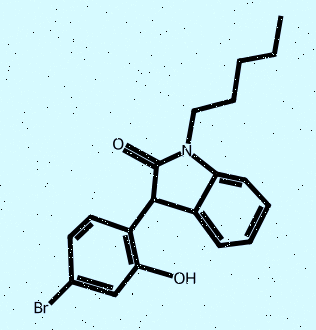 CCCCCN1C(=O)C(c2ccc(Br)cc2O)c2ccccc21